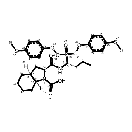 CCC[C@H](NC(=O)[C@@H]1C[C@@H]2CCCC[C@@H]2N1C(=O)O)P(=O)(OOc1ccc(SC)cc1)OOc1ccc(SC)cc1